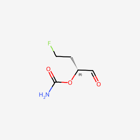 NC(=O)O[C@@H](C=O)CCF